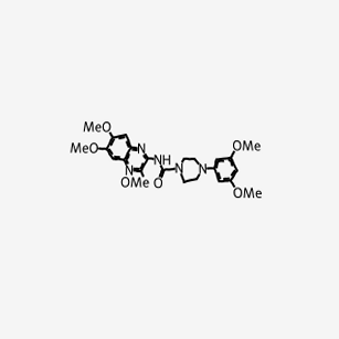 COc1cc(OC)cc(N2CCN(C(=O)Nc3nc4cc(OC)c(OC)cc4nc3OC)CC2)c1